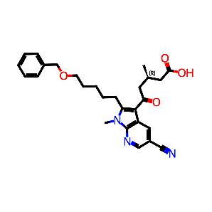 C[C@@H](CC(=O)O)CC(=O)c1c(CCCCCOCc2ccccc2)n(C)c2ncc(C#N)cc12